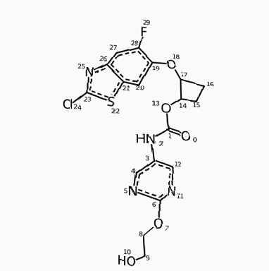 O=C(Nc1cnc(OCCO)nc1)OC1CCC1Oc1cc2sc(Cl)nc2cc1F